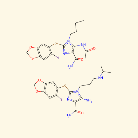 CC(C)NCCCn1c(Sc2cc3c(cc2I)OCO3)nc(C(N)=O)c1N.CCCCn1c(Sc2cc3c(cc2I)OCO3)nc(C(N)=O)c1NC(C)=O